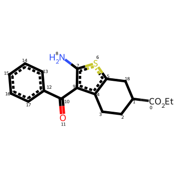 CCOC(=O)C1CCc2c(sc(N)c2C(=O)c2ccccc2)C1